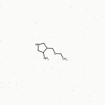 CCOCC1CNCC1N